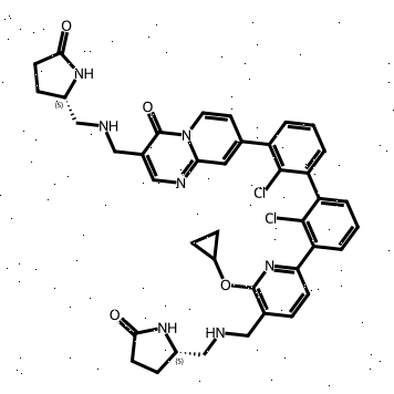 O=C1CC[C@@H](CNCc2ccc(-c3cccc(-c4cccc(-c5ccn6c(=O)c(CNC[C@@H]7CCC(=O)N7)cnc6c5)c4Cl)c3Cl)nc2OC2CC2)N1